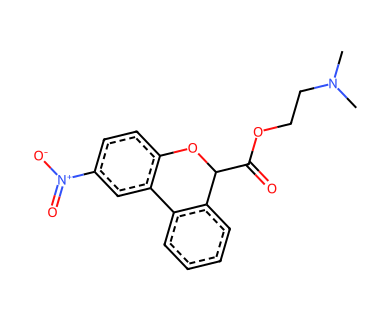 CN(C)CCOC(=O)C1Oc2ccc([N+](=O)[O-])cc2-c2ccccc21